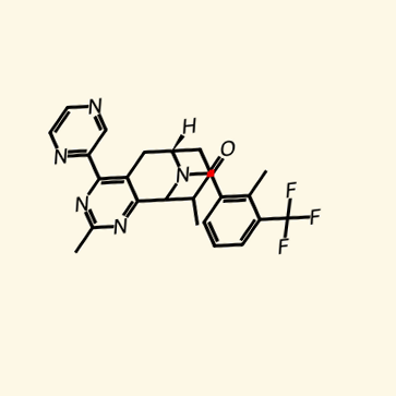 Cc1nc(-c2cnccn2)c2c(n1)C1C(C)CC[C@@H](C2)N1C(=O)c1cccc(C(F)(F)F)c1C